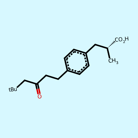 C[C@H](Cc1ccc(CCC(=O)CC(C)(C)C)cc1)C(=O)O